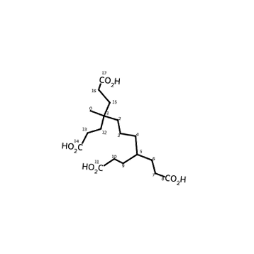 CC(CCCC(CCC(=O)O)CCC(=O)O)(CCC(=O)O)CCC(=O)O